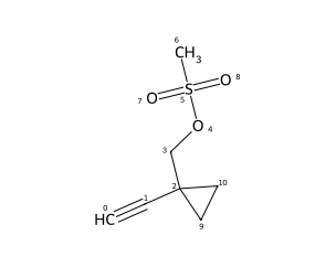 C#CC1(COS(C)(=O)=O)CC1